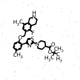 Cc1ccc(OCc2cc(C)c3c(c2F)CCNC3)c(-c2csc(N3CCC(C(=O)OC(C)(C)C)CC3)n2)c1